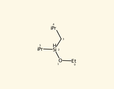 CCO[SiH](CC(C)C)C(C)C